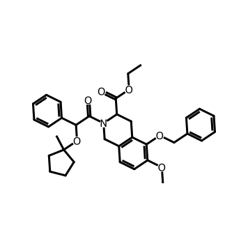 CCOC(=O)C1Cc2c(ccc(OC)c2OCc2ccccc2)CN1C(=O)C(OC1(C)CCCC1)c1ccccc1